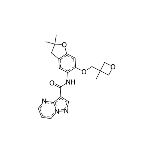 CC1(COc2cc3c(cc2NC(=O)c2cnn4cccnc24)CC(C)(C)O3)COC1